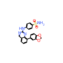 NS(=O)(=O)c1ccc(Nc2ncc3cccc(-c4ccc5c(c4)OCO5)c3n2)cc1